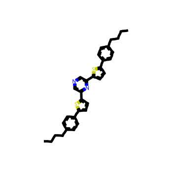 CCCCc1ccc(-c2ccc(-c3cncc(-c4ccc(-c5ccc(CCCC)cc5)s4)n3)s2)cc1